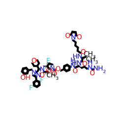 CC(C)[C@H](NC(=O)CCCCCN1C(=O)C=CC1=O)C(=O)N[C@@H](CCCNC(N)=O)C(=O)Nc1ccc(COC(=O)N2C[C@@H](CN(C(=O)[C@H](C)O)[C@@H](c3nc(-c4cc(F)ccc4F)cn3Cc3cccc(O)c3)C3CCOCC3)[C@@H](F)C2)cc1